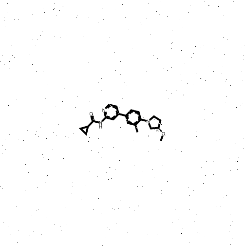 CO[C@@H]1CCN(c2ccc(-c3ccnc(NC(=O)C4CC4)c3)cc2C)C1